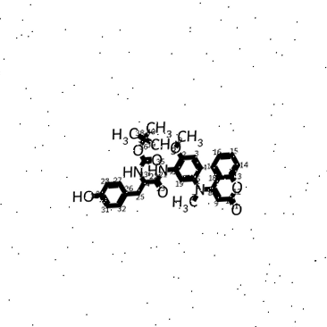 COc1ccc(N(C)c2cc(=O)oc3ccccc23)cc1NC(=O)C(Cc1ccc(O)cc1)NC(=O)OC(C)(C)C